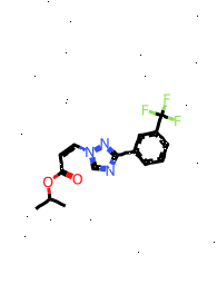 CC(C)OC(=O)/C=C\n1cnc(-c2cccc(C(F)(F)F)c2)n1